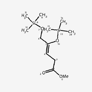 COC(=O)CC=C(CO[Si](C)(C)C)O[Si](C)(C)C